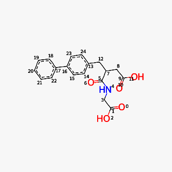 O=C(O)CNC(=O)C(CC(=O)O)Cc1ccc(-c2ccccc2)cc1